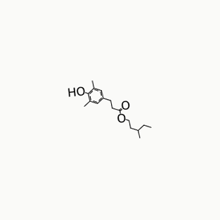 CCC(C)CCOC(=O)CCc1cc(C)c(O)c(C)c1